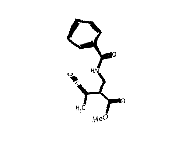 COC(=O)C(CNC(=O)c1ccccc1)C(C)=C=O